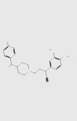 COc1ccc(C(C#N)CCN2CCC(C(O)c3ccc(F)cc3)CC2)cc1OC